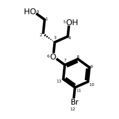 OCC[C@H](CO)Oc1cccc(Br)c1